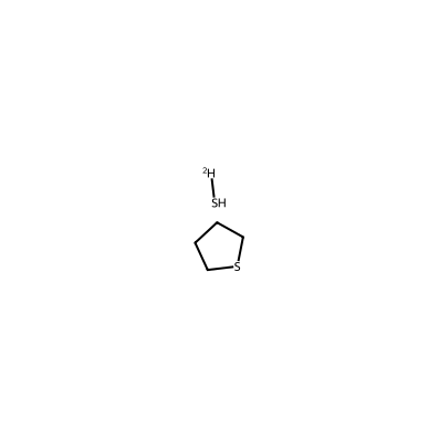 C1CCSC1.[2H]S